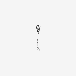 CCCCCCCCCCCCCCCc1cc[n+](-c2ccccc2)cc1